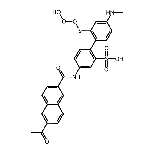 CNc1ccc(-c2ccc(NC(=O)c3ccc4cc(C(C)=O)ccc4c3)cc2S(=O)(=O)O)c(SOOO)c1